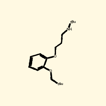 CC(C)(C)COc1ccccc1OCCCNC(C)(C)C